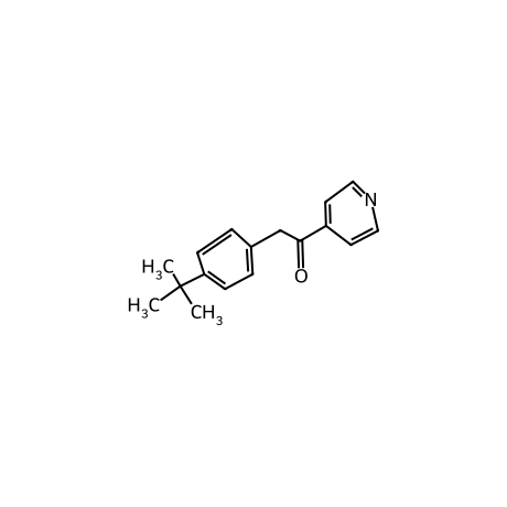 CC(C)(C)c1ccc(CC(=O)c2ccncc2)cc1